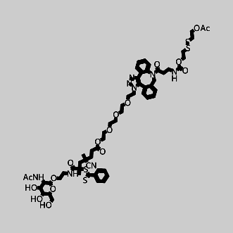 CC(=O)NC1C(OCCNC(=O)C(C)(CC(C)(C#N)CCC(=O)OCCOCCOCCOCCn2nnc3c2-c2ccccc2CN(C(=O)CCNC(=O)OCCSSCCOC(C)=O)c2ccccc2-3)SC(=S)c2ccccc2)OC(CO)C(O)C1O